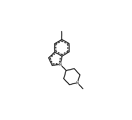 Cc1ccc2c(ccn2C2CCN(C)CC2)c1